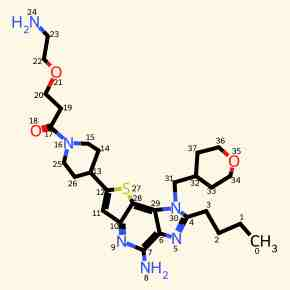 CCCCc1nc2c(N)nc3cc(C4CCN(C(=O)CCOCCN)CC4)sc3c2n1CC1CCOCC1